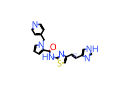 O=C(Nc1nc(/C=C/c2c[nH]cn2)cs1)c1cccn1Cc1ccncc1